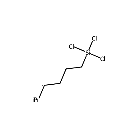 CC(C)[CH]CCC[Si](Cl)(Cl)Cl